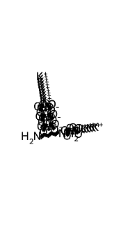 NCCCCCCN.O=P([O-])([O-])CP(=O)([O-])[O-].O=P([O-])([O-])CP(=O)([O-])[O-].O=P([O-])([O-])CP(=O)([O-])[O-].O=P([O-])([O-])CP(=O)([O-])[O-].[K+].[K+].[K+].[K+].[K+].[K+].[K+].[K+].[K+].[K+].[K+].[K+].[K+].[K+].[K+].[K+]